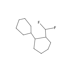 FC(F)C1CCCCC1C1CCCCC1